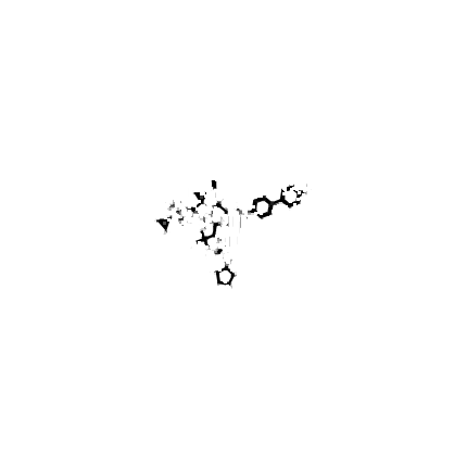 C=C[C@@H]1C[C@]1(NC(=O)[C@H](CNc1ccc(-c2ccc(F)cc2)cc1)NC(=O)[C@@H](NC(=O)OC1CCCC1)C(C)(C)C)C(=O)NS(=O)(=O)C1CC1